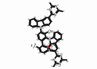 Cc1nc(C)nc(-c2ccc3c(c2)c2ccccc2n3-c2ccc(-c3c(C#N)cccc3C(F)(F)F)c(-n3c4ccccc4c4cc(-c5nc(C)nc(C)n5)ccc43)c2C#N)n1